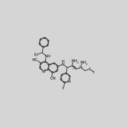 CCC(Nc1c(C#N)cnc2c(C#N)cc(NC(/C(N)=C/N(N)CSI)c3ccc(F)nc3)cc12)c1ccccc1